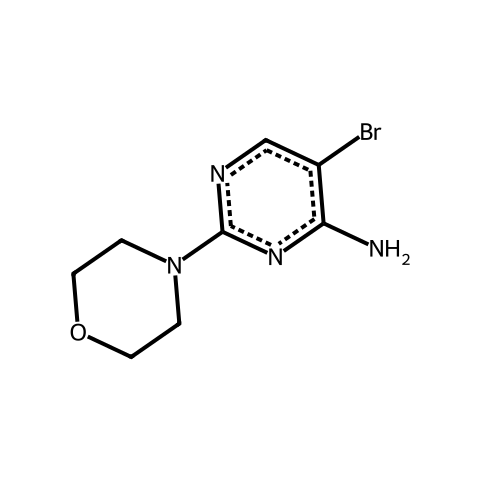 Nc1nc(N2CCOCC2)ncc1Br